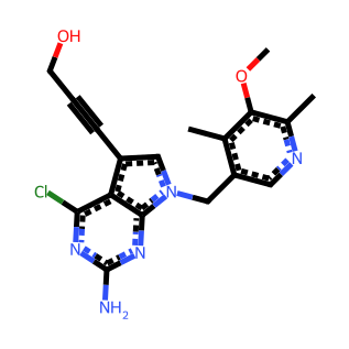 COc1c(C)ncc(Cn2cc(C#CCO)c3c(Cl)nc(N)nc32)c1C